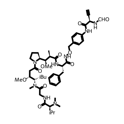 C#C[C@@H](NC=O)C(=O)Nc1ccc(CONC(=O)[C@H](Cc2ccccc2)NC(=O)[C@H](C)[C@@H](OC)[C@@H]2CCCN2C(=O)C[C@@H](OC)[C@H]([C@@H](C)CC)N(C)C(=O)CNC(=O)[C@H](C(C)C)N(C)C)cc1